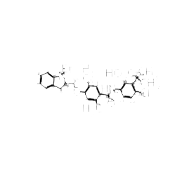 CCN1c2ccccc2C[C@@H]1COc1cc(C)c(C(=O)Nc2ccc(Cl)c(C(C)(C)C(=O)O)c2)cc1C